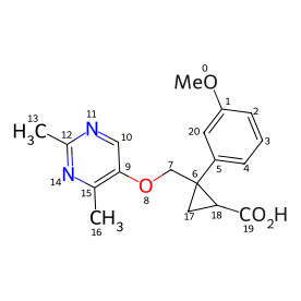 COc1cccc(C2(COc3cnc(C)nc3C)CC2C(=O)O)c1